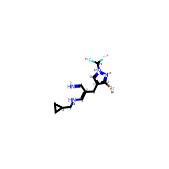 N=C/C(=C\NCC1CC1)Cc1cn(C(F)F)nc1Br